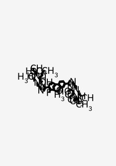 C#CCCN(CC1=NCC(c2ccc3c(c2)OCC2=C=C3C=CC(c3cnc(CN(CCC)C(O)C(C=C(C)C)NCOC)[nH]3)=C2F)N1)C(CO)[C@@H](NC(=O)OC)C(C)C